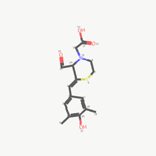 Cc1cc(C=C2SCCN(CC(=O)O)C2C=O)cc(C)c1O